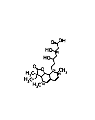 CCC1(C)C(=O)OC2C3C(=C[C@H](C)C21)C=C[C@H](C)[C@@H]3CCC(O)C[C@@H](O)CC(=O)O